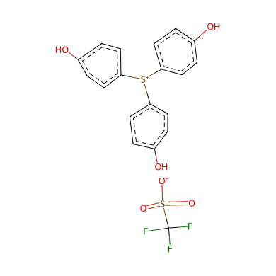 O=S(=O)([O-])C(F)(F)F.Oc1ccc([S+](c2ccc(O)cc2)c2ccc(O)cc2)cc1